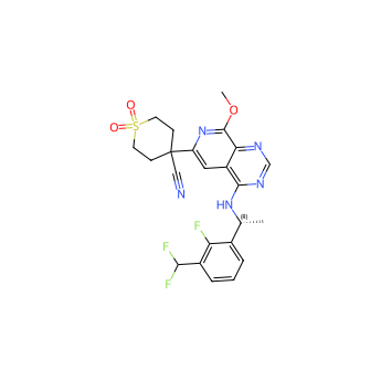 COc1nc(C2(C#N)CCS(=O)(=O)CC2)cc2c(N[C@H](C)c3cccc(C(F)F)c3F)ncnc12